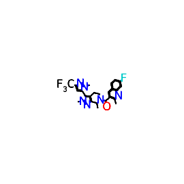 Cc1nc2cc(F)ccc2cc1C(=O)N1CCc2c(nn(C)c2-c2cc(C(F)(F)F)nn2C)C1C